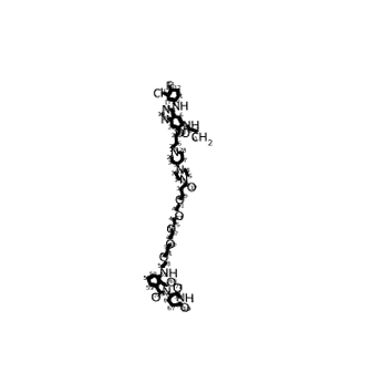 C=CC(=O)Nc1cc2c(Nc3ccc(F)c(Cl)c3)ncnc2cc1OCCCN1CCC(N2CCN(C(=O)CCOCCOCCOCCOCCOCCNc3cccc4c3C(=O)N(C3CCC(=O)NC3=O)C4=O)CC2)CC1